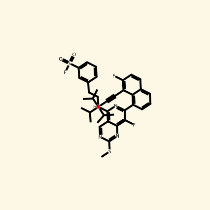 CSc1ncc2c(NCCc3cccc(S(=O)(=O)F)c3)nc(-c3cccc4ccc(F)c(C#C[Si](C(C)C)(C(C)C)C(C)C)c34)c(F)c2n1